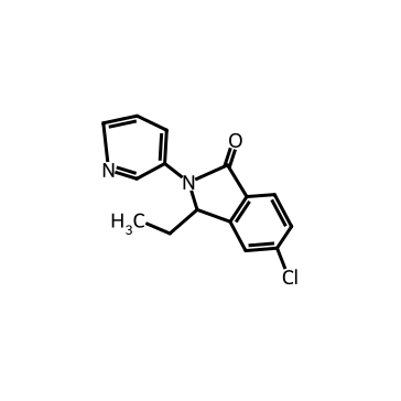 CCC1c2cc(Cl)ccc2C(=O)N1c1cccnc1